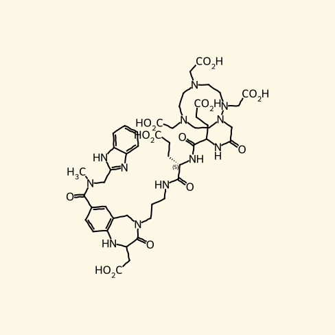 CN(Cc1nc2ccccc2[nH]1)C(=O)c1ccc2c(c1)CN(CCCNC(=O)[C@H](CCC(=O)O)NC(=O)C(CCC(=O)O)NC(=O)CN1CCN(CC(=O)O)CCN(CC(=O)O)CCN1CC(=O)O)C(=O)C(CC(=O)O)N2